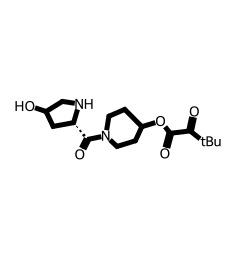 CC(C)(C)C(=O)C(=O)OC1CCN(C(=O)[C@@H]2CC(O)CN2)CC1